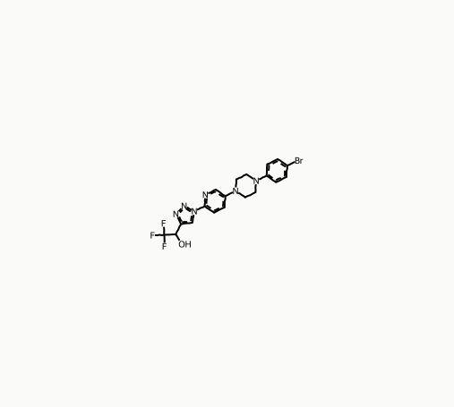 OC(c1cn(-c2ccc(N3CCN(c4ccc(Br)cc4)CC3)cn2)nn1)C(F)(F)F